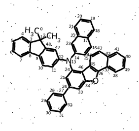 CC1(C)c2ccccc2-c2ccc(N(c3ccc4ccccc4c3)c3cc(-c4ccccc4)cc4oc5c6ccccc6ccc5c34)cc21